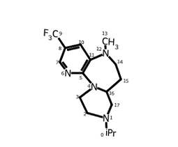 CC(C)N1CCN2c3ncc(C(F)(F)F)cc3N(C)CCC2C1